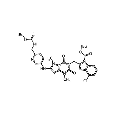 Cn1c(Nc2ccc(CNC(=O)OC(C)(C)C)nc2)nc2c1c(=O)n(Cc1cc3c(Cl)cccc3n1C(=O)OC(C)(C)C)c(=O)n2C